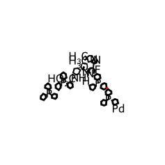 CC1(C)CCn2ncc(-c3cc(NC(=O)[C@H]4CCC[C@@H](NC(=O)O)C4)ncc3F)c2C1.[Pd].c1ccc(P(c2ccccc2)c2ccccc2)cc1.c1ccc(P(c2ccccc2)c2ccccc2)cc1.c1ccc(P(c2ccccc2)c2ccccc2)cc1.c1ccc(P(c2ccccc2)c2ccccc2)cc1